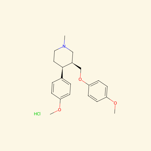 COc1ccc(OC[C@@H]2CN(C)CC[C@@H]2c2ccc(OC)cc2)cc1.Cl